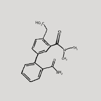 CN(C)C(=O)c1cc(-c2ccccc2C(N)=O)ccc1CC(=O)O